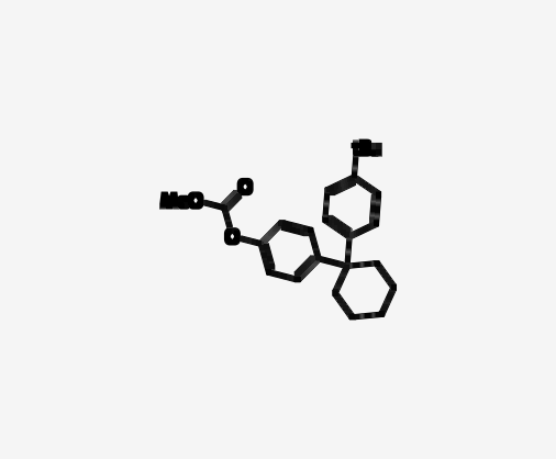 COC(=O)Oc1ccc(C2(c3ccc(C(C)(C)C)cc3)CCCCC2)cc1